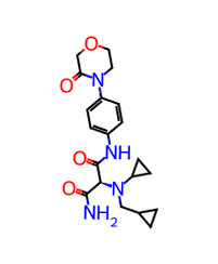 NC(=O)[C@@H](C(=O)Nc1ccc(N2CCOCC2=O)cc1)N(CC1CC1)C1CC1